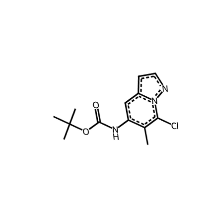 Cc1c(NC(=O)OC(C)(C)C)cc2ccnn2c1Cl